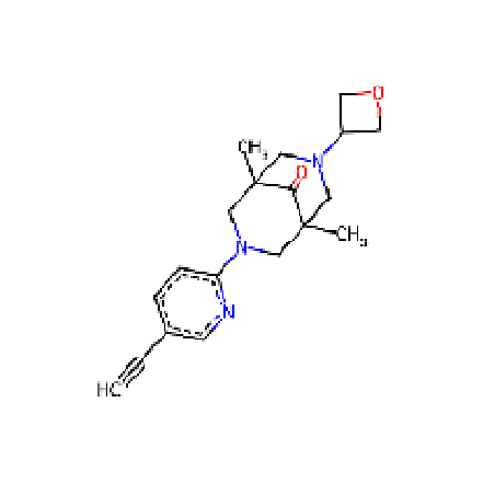 C#Cc1ccc(N2CC3(C)CN(C4COC4)CC(C)(C2)C3=O)nc1